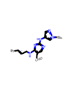 CC(C)/C=C/CNc1nc(Nc2cnn(C(C)(C)C)c2)ncc1C=O